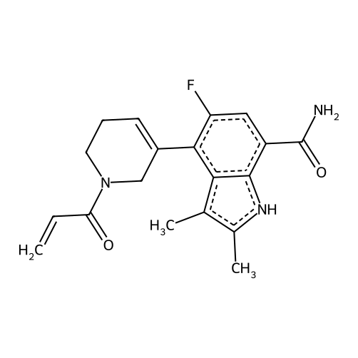 C=CC(=O)N1CCC=C(c2c(F)cc(C(N)=O)c3[nH]c(C)c(C)c23)C1